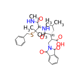 CNC(=O)[C@H](NC(=O)[C@H](CC(C)C)C(CN1C(=O)c2ccccc2C1=O)C(=O)O)C(C)(C)SCc1ccccc1